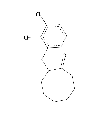 O=C1CCCCCCC1Cc1cccc(Cl)c1Cl